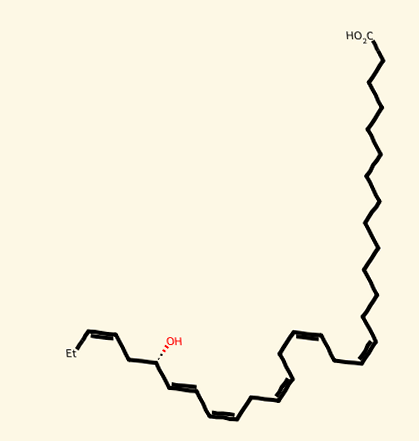 CC/C=C\C[C@H](O)/C=C/C=C\C/C=C\C/C=C\C/C=C\CCCCCCCCCCCCC(=O)O